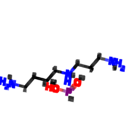 NCCCCNCCCN.O=PO